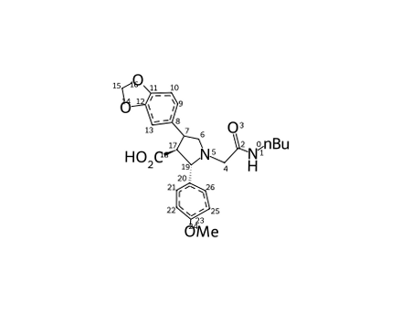 CCCCNC(=O)CN1CC(c2ccc3c(c2)OCO3)[C@H](C(=O)O)[C@H]1c1ccc(OC)cc1